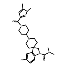 Cc1cc(C(=O)N2CCC(N3CCC4(CC3)CN(C(=O)N(C)C)c3ccc(F)cc34)CC2)nn1C